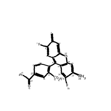 C=c1cc2c(cc1F)=C(c1ccc(C(=O)C(C)C)cc1C(=O)O)c1cc(F)c(N)cc1O2